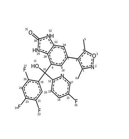 Cc1noc(C)c1-c1cc(C(O)(c2ccc(F)cn2)c2cc(F)c(F)cc2F)c2[nH]c(=O)[nH]c2c1